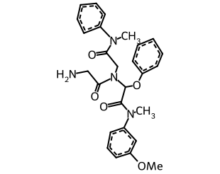 COc1cccc(N(C)C(=O)C(Oc2ccccc2)N(CC(=O)N(C)c2ccccc2)C(=O)CN)c1